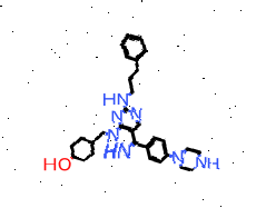 N=C(c1ccc(N2CCNCC2)cc1)c1cnc(NCCCc2ccccc2)nc1NCC1CCC(O)CC1